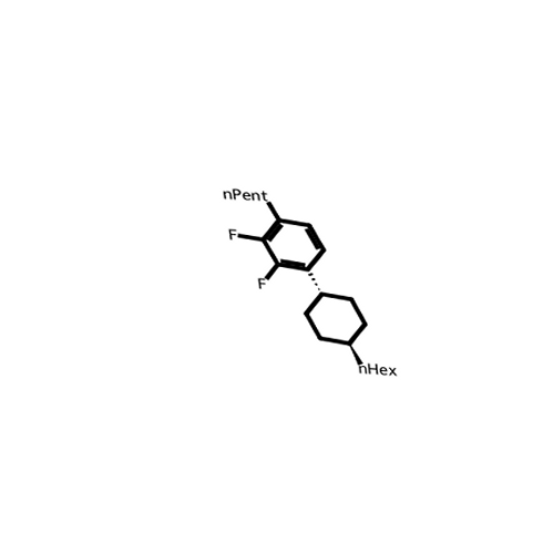 CCCCCC[C@H]1CC[C@H](c2ccc(CCCCC)c(F)c2F)CC1